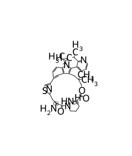 CCn1c(-c2cccnc2C(C)C)c2c3cc(ccc31)-c1csc(n1)C[C@H](N)C(=O)N1CCC[C@H](N1)C(=O)OCC(C)(C)C2